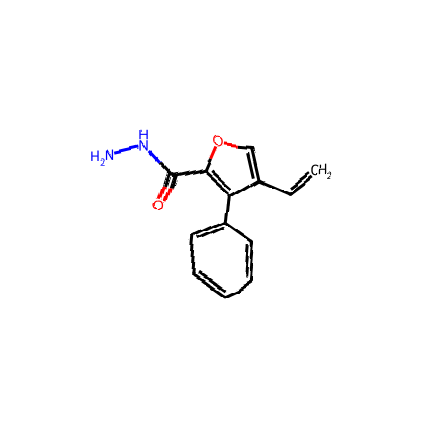 C=Cc1coc(C(=O)NN)c1-c1ccccc1